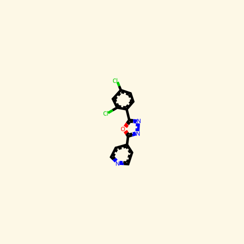 Clc1ccc(-c2nnc(-c3ccncc3)o2)c(Cl)c1